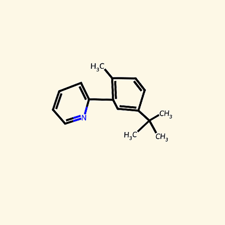 Cc1ccc(C(C)(C)C)cc1-c1ccccn1